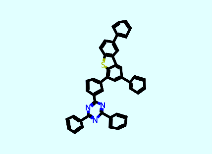 c1ccc(-c2ccc3sc4c(-c5cccc(-c6nc(-c7ccccc7)nc(-c7ccccc7)n6)c5)cc(-c5ccccc5)cc4c3c2)cc1